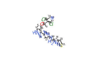 C[C@@H](Oc1ccc2[nH]nc(-c3ccc(N4CC(N)(Cc5ccsn5)C4)nn3)c2c1)c1c(Cl)cncc1Cl